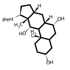 CCC[C@@H](C)[C@H]1CC[C@@H]2C[C@H]3C([C@H](O)[C@@]21C)[C@@]1(C)CC[C@@H](O)CC1C[C@H]3O